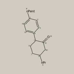 CCCCCc1ccc(C2CCC(CCC)CC2=O)cc1